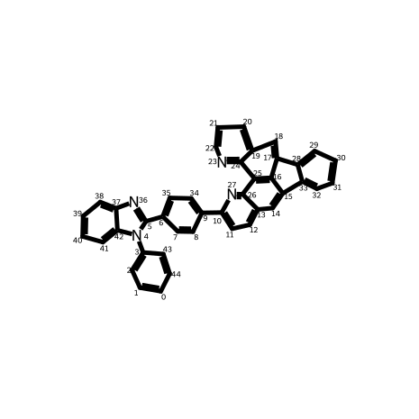 c1ccc(-n2c(-c3ccc(-c4ccc5cc6c7c(cc8cccnc8c7c5n4)-c4ccccc4-6)cc3)nc3ccccc32)cc1